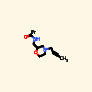 CC#CCN1CCOC(CNC(=O)C(C)C)C1